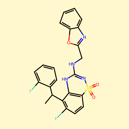 CC(c1ccccc1F)c1c(F)ccc2c1NC(NCc1nc3ccccc3o1)=NS2(=O)=O